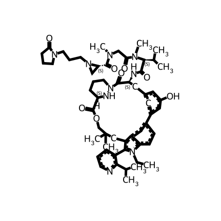 CCn1c(-c2cccnc2C(C)C)c2c3cc(ccc31)-c1cc(O)cc(c1)C[C@H](NC(=O)[C@H](C(C)C)N(C)C(=O)CN(C)C(=O)[C@@H]1CN1CCCN1CCCC1=O)C(=O)N1CCC[C@H](N1)C(=O)OCC(C)(C)C2